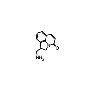 NCC1Cn2c(=O)ccc3cccc1c32